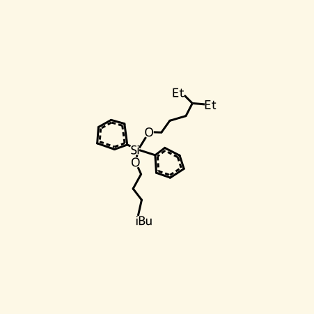 CCC(C)CCCO[Si](OCCCC(CC)CC)(c1ccccc1)c1ccccc1